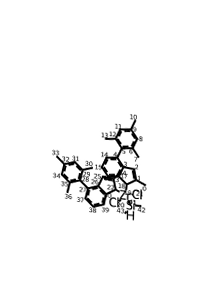 CC1=Cc2c(-c3c(C)cc(C)cc3C)cccc2[CH]1[Zr]([Cl])([Cl])([CH]1C(C)=Cc2c(-c3c(C)cc(C)cc3C)cccc21)[SiH](C)C